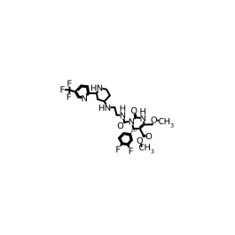 COCC1=C(C(=O)OC)[C@H](c2ccc(F)c(F)c2)N(C(=O)NCCNC2CCNC(c3ccc(C(F)(F)F)cn3)C2)C(=O)N1